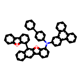 c1ccc(-c2ccc(N(c3ccc4c5ccccc5c5ccccc5c4c3)c3cccc4c3oc3c(-c5cccc6c5oc5ccccc56)c5ccccc5cc34)cc2)cc1